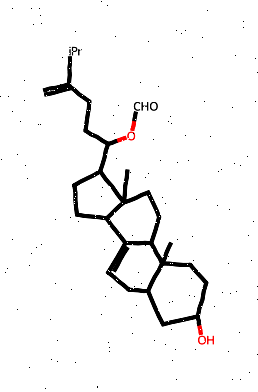 C=C(CCC(OC=O)C1CCC2C3=CCC4CC(O)CCC4(C)C3CCC21C)C(C)C